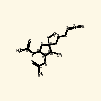 CC[C@@]1(CCCN=[N+]=[N-])OC(OC(C)=O)[C@H](OC(C)=O)[C@@H]1C